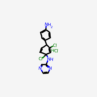 Cl.Nc1ccc(C2C=CC(Cl)(Nc3cnccn3)C=C2Cl)cc1